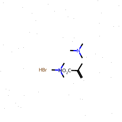 Br.C=C(C)C(=O)O.CN(C)C.CN(C)C